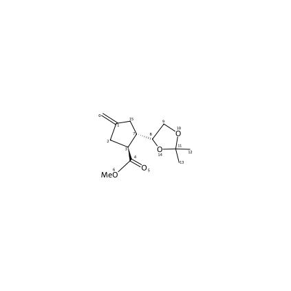 C=C1C[C@H](C(=O)OC)[C@@H](C2COC(C)(C)O2)C1